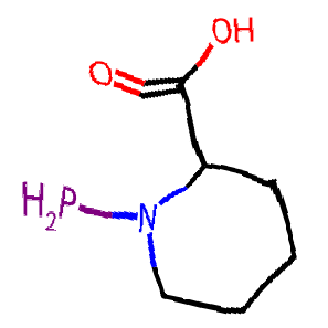 O=C(O)C1CCCCN1P